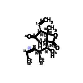 C=C[C@H]1C(=O)N[C@@]2([C@@H](O)[C@H](/C=C\CC)CC)C(=O)O[C@@]12C